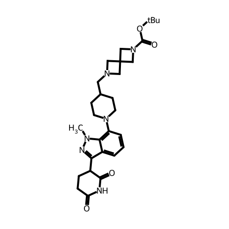 Cn1nc(C2CCC(=O)NC2=O)c2cccc(N3CCC(CN4CC5(C4)CN(C(=O)OC(C)(C)C)C5)CC3)c21